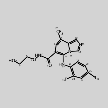 O=C(NOCCO)c1cc(C(F)(F)F)c2cncn2c1Nc1ccc(I)cc1F